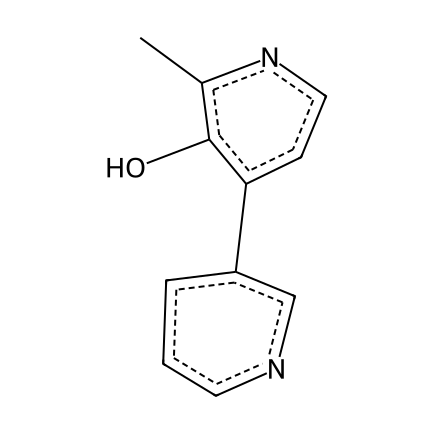 Cc1nccc(-c2cccnc2)c1O